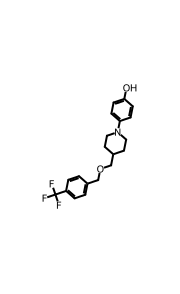 Oc1ccc(N2CCC(COCc3ccc(C(F)(F)F)cc3)CC2)cc1